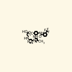 Cc1cc(Nc2cc(NC(=O)c3cccc(C(F)(F)F)c3)ccc2C)n(-c2cc(NCCC(=O)O)ncn2)n1